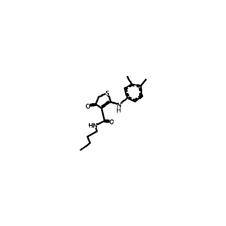 CCCCNC(=O)C1=C(Nc2ccc(C)c(C)c2)SCC1=O